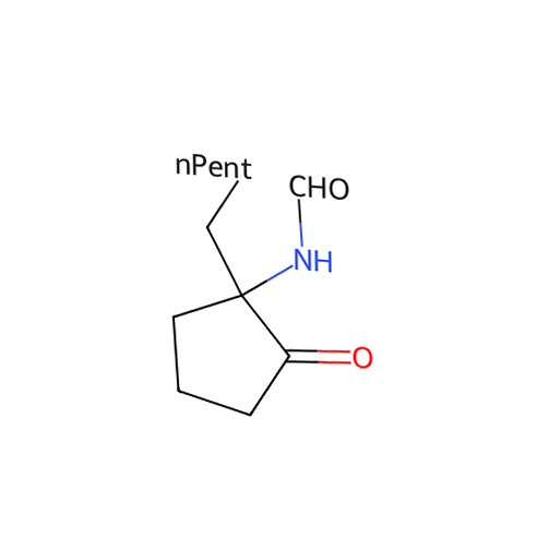 CCCCCCC1(NC=O)CCCC1=O